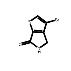 O=C1NCc2c(Br)csc21